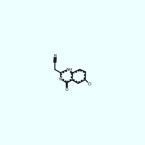 N#CCc1nc(=O)c2cc(Cl)ccc2[nH]1